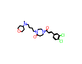 CN(CCCCN1CCN(C(=O)C=Cc2ccc(Cl)c(Cl)c2)CCC1=O)C1CCOCC1